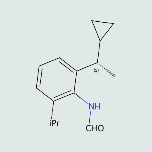 CC(C)c1cccc([C@@H](C)C2CC2)c1NC=O